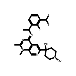 CC(=O)N1CCC(O)(c2cc3c(=NC(C)c4cccc(C(F)F)c4F)nc(C)n(C)c3cn2)CC1